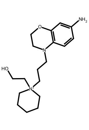 Nc1ccc2c(c1)OCCN2CCC[N+]1(CCO)CCCCC1